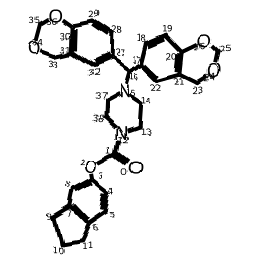 O=C(Oc1ccc2c(c1)CCC2)N1CCN(C(c2ccc3c(c2)COCO3)c2ccc3c(c2)COCO3)CC1